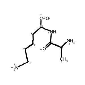 CC(N)C(=O)NC([C]=O)CCCCN